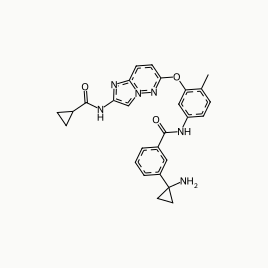 Cc1ccc(NC(=O)c2cccc(C3(N)CC3)c2)cc1Oc1ccc2nc(NC(=O)C3CC3)cn2n1